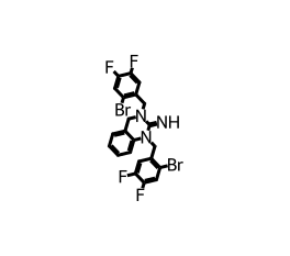 N=C1N(Cc2cc(F)c(F)cc2Br)Cc2ccccc2N1Cc1cc(F)c(F)cc1Br